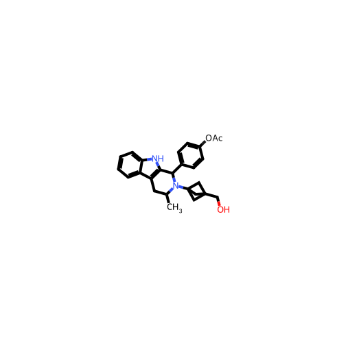 CC(=O)Oc1ccc(C2c3[nH]c4ccccc4c3CC(C)N2C23CC(CO)(C2)C3)cc1